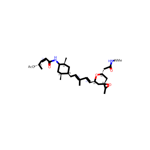 CNNC(=O)C[C@@H]1C[C@@]2(C[C@@H](/C=C/C(C)=C/C[C@@H]3C[C@H](C)C(NC(=O)/C=C\[C@H](C)OC(C)=O)C[C@@H]3C)O1)OC2C